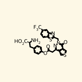 N[C@@H](Cc1ccc(OC(=O)Cc2nn(Cc3nc4cc(C(F)(F)F)ccc4s3)c(=O)c3cscc23)cc1)C(=O)O